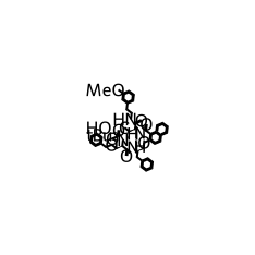 COc1cccc(CCNC(=O)[C@H](CC(=O)O)NC(=O)c2c(OC[C@@H](Cc3ccccc3)NC(=O)[C@@H](COCc3ccccc3)N(C)C(=O)OC(C)(C)C)ccc3ccccc23)c1